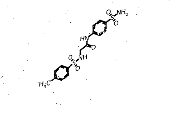 Cc1ccc(S(=O)(=O)NCC(=O)Nc2ccc(S(N)(=O)=O)cc2)cc1